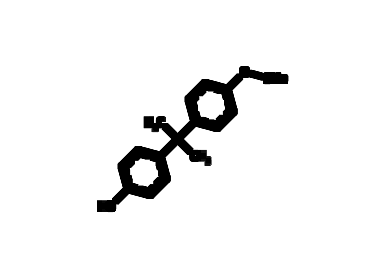 CSOc1ccc(C(C)(C)c2ccc(O)cc2)cc1